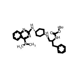 CN(C)c1nc(N[C@H]2CC[C@@H](NCC(Cc3ccccc3)NC(=O)OC(C)(C)C)CC2)nc2ccccc12